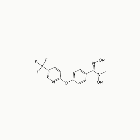 CN(O)/C(=N\O)c1ccc(Oc2ccc(C(F)(F)F)cn2)cc1